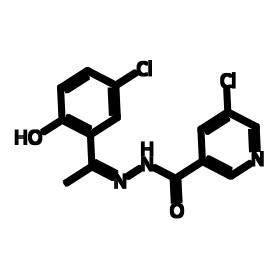 CC(=NNC(=O)c1cncc(Cl)c1)c1cc(Cl)ccc1O